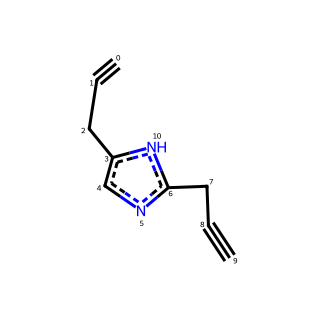 C#CCc1cnc(CC#C)[nH]1